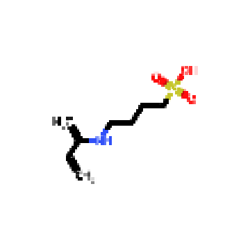 C=CC(=C)NCCCCS(=O)(=O)O